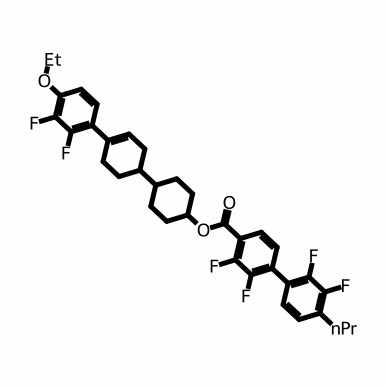 CCCc1ccc(-c2ccc(C(=O)OC3CCC(C4CC=C(c5ccc(OCC)c(F)c5F)CC4)CC3)c(F)c2F)c(F)c1F